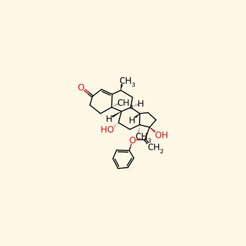 C=C(Oc1ccccc1)[C@@]1(O)CC[C@H]2[C@@H]3C[C@H](C)C4=CC(=O)CC[C@]4(C)[C@H]3[C@@H](O)C[C@@]21C